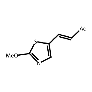 COc1ncc(/C=C/C(C)=O)s1